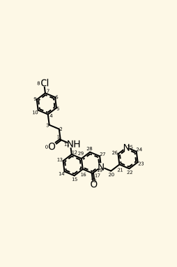 O=C(CCc1ccc(Cl)cc1)Nc1cccc2c(=O)n(Cc3cccnc3)ccc12